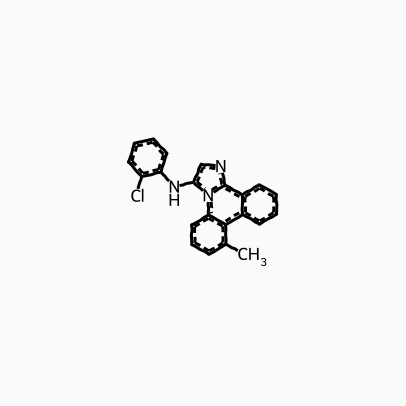 Cc1cccc2c1c1ccccc1c1ncc(Nc3ccccc3Cl)n21